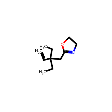 C=CC(CC)(CC)CC1=NCCO1